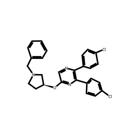 Clc1ccc(-c2ncc(O[C@H]3CCN(Cc4ccccc4)C3)nc2-c2ccc(Cl)cc2)cc1